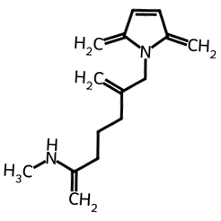 C=C(CCCC(=C)NC)Cn1c(=C)ccc1=C